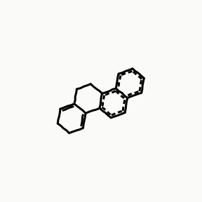 C1=C2CCc3c(ccc4ccccc34)C2=CCC1